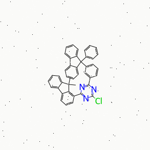 CC1(C)c2ccccc2-c2cccc(-c3nc(Cl)nc(-c4cccc(C5(c6ccccc6)c6ccccc6-c6ccccc65)c4)n3)c21